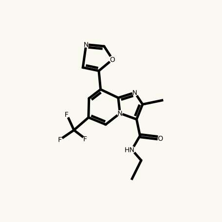 CCNC(=O)c1c(C)nc2c(-c3cnco3)cc(C(F)(F)F)cn12